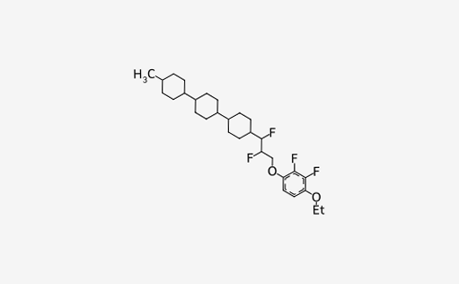 CCOc1ccc(OCC(F)C(F)C2CCC(C3CCC(C4CCC(C)CC4)CC3)CC2)c(F)c1F